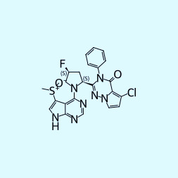 C[S+]([O-])c1c[nH]c2ncnc(N3C[C@@H](F)C[C@H]3c3nn4ccc(Cl)c4c(=O)n3-c3ccccc3)c12